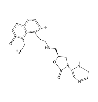 CCn1c(=O)ccc2ccc(F)c(CCNC[C@H]3CN(C4=CN=CCN4)C(=O)O3)c21